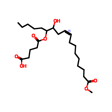 CCCCCC(OC(=O)CCCC(=O)O)C(O)C/C=C\CCCCCCCC(=O)OC